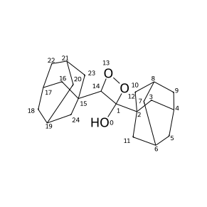 OC1(C23CC4CC(CC(C4)C2)C3)OOC1C12CC3CC(CC(C3)C1)C2